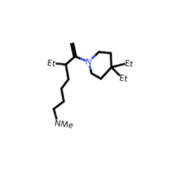 C=C(C(CC)CCCCNC)N1CCC(CC)(CC)CC1